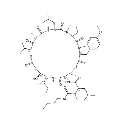 CCCCNC(=O)N(C)[C@H](CC(C)C)C(=O)N[C@@H]1C(=O)N[C@H]([C@@H](C)CC)[C@@H](O)CC(=O)O[C@@H](C(C)C)C(=O)[C@H](C)C(=O)N[C@@H](CC(C)C)C(=O)N2CCCC2C(=O)N(C)[C@@H](Cc2ccc(OC)cc2)C(=O)O[C@@H]1C